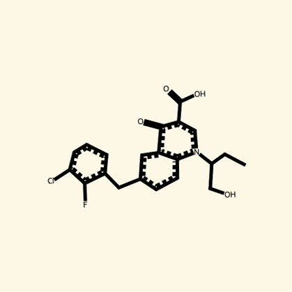 CCC(CO)n1cc(C(=O)O)c(=O)c2cc(Cc3cccc(Cl)c3F)ccc21